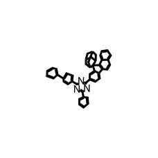 c1ccc(-c2ccc(-c3nc(-c4ccccc4)nc(-c4ccc5c(c4)C4(c6c-5ccc5ccccc65)C5CC6CC(C5)CC4C6)n3)cc2)cc1